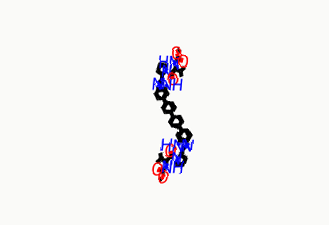 COC(=O)NC(C(=O)N1CCCC1c1nc2ccc(-c3ccc(-c4ccc(-c5ccc6nc(C7CCCN7C(=O)C(NC(=O)OC)C(C)C)[nH]c6c5)cc4)cc3)cc2[nH]1)C(C)C